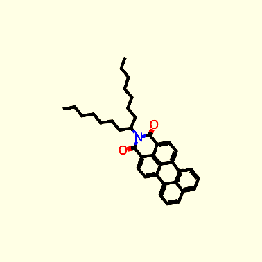 CCCCCCCC(CCCCCCC)N1C(=O)c2ccc3c4cccc5cccc(c6ccc(c2c36)C1=O)c54